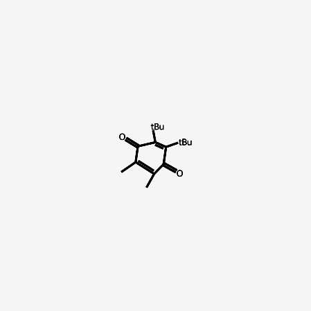 CC1=C(C)C(=O)C(C(C)(C)C)=C(C(C)(C)C)C1=O